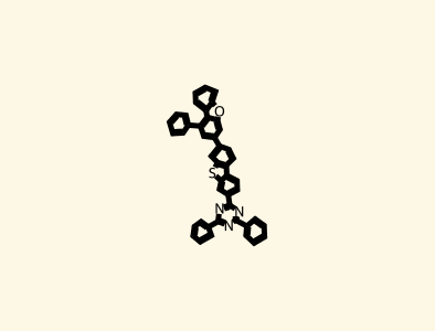 c1ccc(-c2nc(-c3ccccc3)nc(-c3ccc4c(c3)sc3cc(-c5cc(-c6ccccc6)c6c(c5)oc5ccccc56)ccc34)n2)cc1